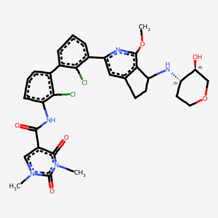 COc1nc(-c2cccc(-c3cccc(NC(=O)c4cn(C)c(=O)n(C)c4=O)c3Cl)c2Cl)cc2c1C(N[C@H]1CCOC[C@@H]1O)CC2